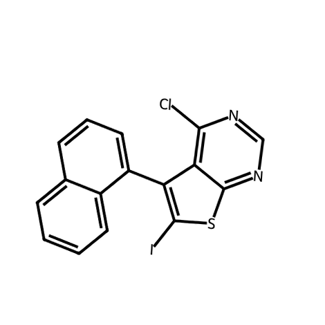 Clc1ncnc2sc(I)c(-c3cccc4ccccc34)c12